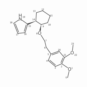 COc1ccc(CCO[C@@H]2CCCC[C@@H]2c2ccc[nH]2)cc1OC